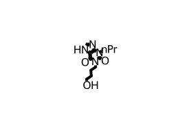 CCCn1c(=O)n(CCCCO)c(=O)c2[nH]cnc21